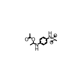 CC(=O)OC(C)Nc1ccc(NS(C)(=O)=O)cc1